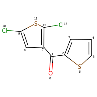 O=C(c1cccs1)c1cc(Cl)sc1Cl